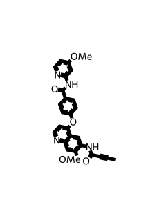 CC#CC(=O)Nc1cc2c(Oc3ccc(C(=O)Nc4cc(OC)ccn4)cc3)ccnc2cc1OC